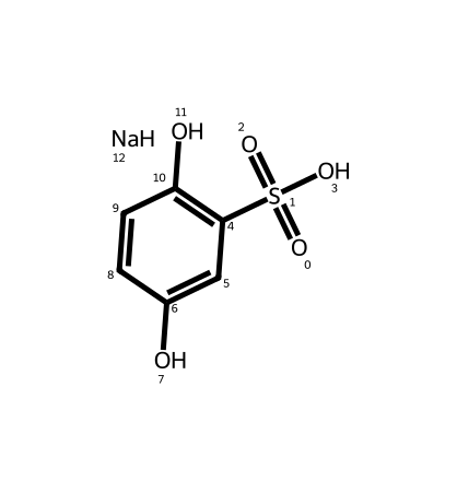 O=S(=O)(O)c1cc(O)ccc1O.[NaH]